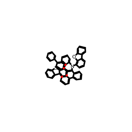 c1ccc(-c2ccc(-c3c(N(c4ccccc4-c4cccc5c4sc4ccccc45)c4cccc5c4oc4ccccc45)c4ccccc4c4ccccc34)cc2)cc1